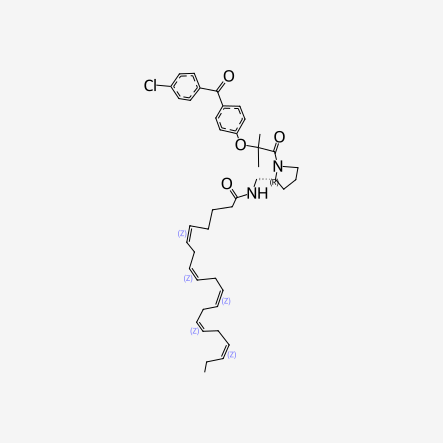 CC/C=C\C/C=C\C/C=C\C/C=C\C/C=C\CCCC(=O)NC[C@H]1CCCN1C(=O)C(C)(C)Oc1ccc(C(=O)c2ccc(Cl)cc2)cc1